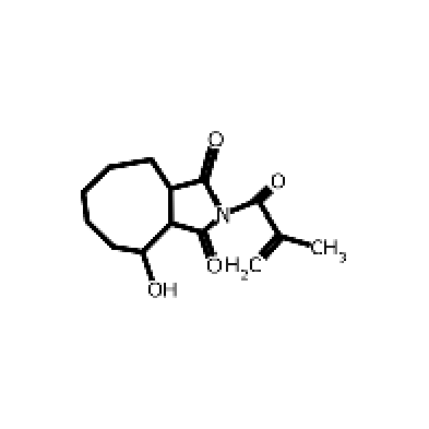 C=C(C)C(=O)N1C(=O)C2CCCCCC(O)C2C1=O